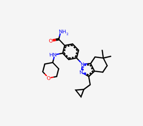 CC1(C)CCc2c(CC3CC3)nn(-c3ccc(C(N)=O)c(NC4CCOCC4)c3)c2C1